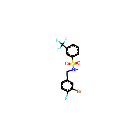 O=S(=O)(NCc1ccc(F)c(Br)c1)c1cccc(C(F)(F)F)c1